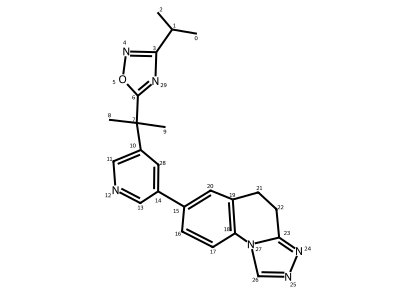 CC(C)c1noc(C(C)(C)c2cncc(-c3ccc4c(c3)CCc3nncn3-4)c2)n1